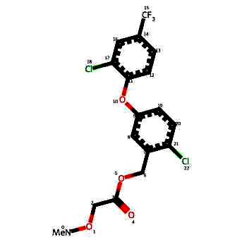 CNOCC(=O)OCc1cc(Oc2ccc(C(F)(F)F)cc2Cl)ccc1Cl